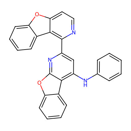 c1ccc(Nc2cc(-c3nccc4oc5ccccc5c34)nc3oc4ccccc4c23)cc1